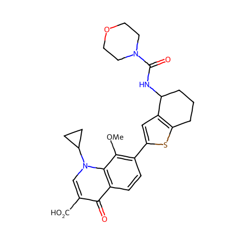 COc1c(-c2cc3c(s2)CCCC3NC(=O)N2CCOCC2)ccc2c(=O)c(C(=O)O)cn(C3CC3)c12